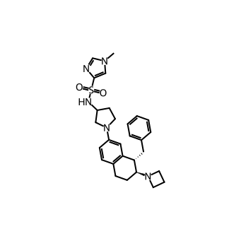 Cn1cnc(S(=O)(=O)NC2CCN(c3ccc4c(c3)[C@H](Cc3ccccc3)[C@@H](N3CCC3)CC4)C2)c1